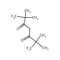 CC(C)(C(=O)CC(=O)C(C)(C)C(F)(F)F)C(F)(F)F